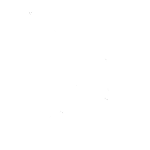 COCOc1ccc(C)c(-c2cc(-c3nc(Cl)cs3)c3c(c2N)C(=O)NC3)c1